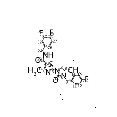 Cc1nc(N2C[C@H](C)N(Cc3ccc(F)cc3)C2=O)sc1C(=O)NCc1ccc(F)c(F)c1